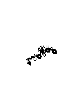 CN(C(=O)C=CCN(C)C1CCC1)c1cccc(-n2c(=O)n(-c3ccc(Oc4ccccc4)cc3)c3c(N)ncnc32)c1